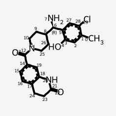 Cc1cc(O)c([C@H](N)C2CCN(C(=O)c3ccc4c(c3)NC(=O)CC4)CC2)cc1Cl